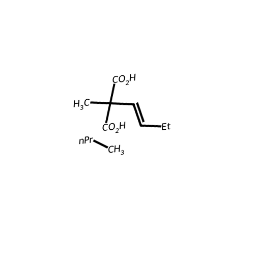 CC/C=C/C(C)(C(=O)O)C(=O)O.CCCC